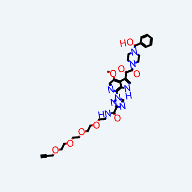 C#CCOCCOCCOCCOCCNC(=O)c1ncn(-c2ncc(OC)c3c(C(=O)C(=O)N4CCN(C(O)c5ccccc5)CC4)c[nH]c23)n1